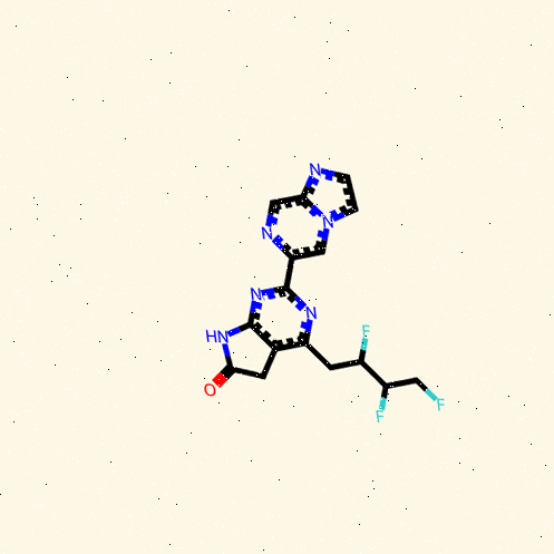 O=C1Cc2c(CC(F)C(F)CF)nc(-c3cn4ccnc4cn3)nc2N1